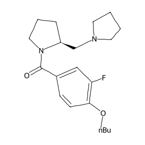 CCCCOc1ccc(C(=O)N2CCC[C@H]2CN2CCCC2)cc1F